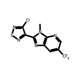 Cn1c(-c2nsnc2Cl)nc2cc(C(F)(F)F)cnc21